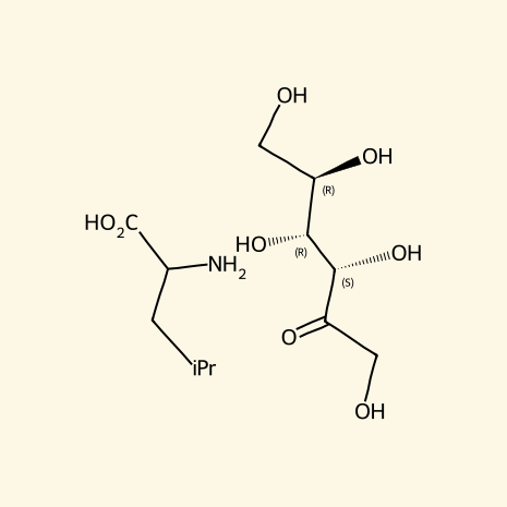 CC(C)CC(N)C(=O)O.O=C(CO)[C@@H](O)[C@H](O)[C@H](O)CO